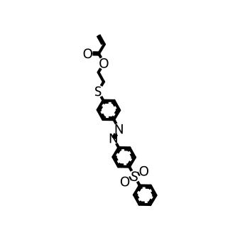 C=CC(=O)OCCSc1ccc(/N=N/c2ccc(S(=O)(=O)c3ccccc3)cc2)cc1